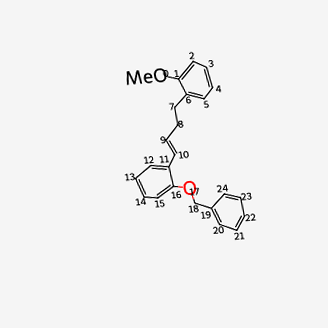 COc1ccccc1CCC=Cc1ccccc1OCc1ccccc1